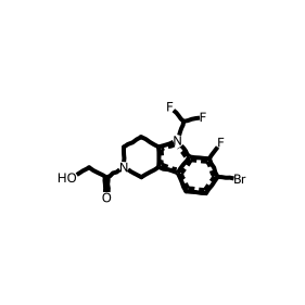 O=C(CO)N1CCc2c(c3ccc(Br)c(F)c3n2C(F)F)C1